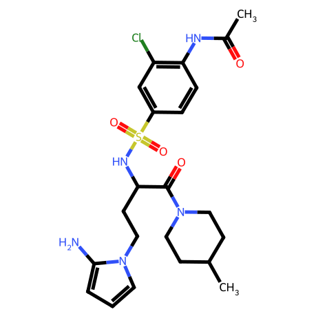 CC(=O)Nc1ccc(S(=O)(=O)NC(CCn2cccc2N)C(=O)N2CCC(C)CC2)cc1Cl